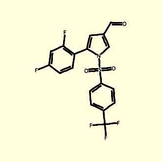 O=Cc1cc(-c2ccc(F)cc2F)n(S(=O)(=O)c2ccc(C(F)(F)F)cc2)c1